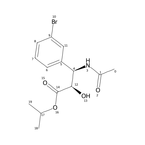 CC(=O)N[C@H](c1cccc(Br)c1)[C@@H](O)C(=O)OC(C)C